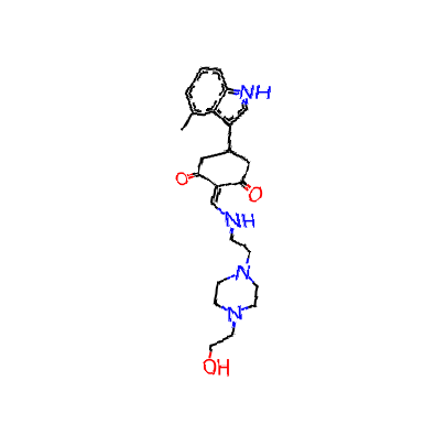 Cc1cccc2[nH]cc(C3CC(=O)C(=CNCCN4CCN(CCO)CC4)C(=O)C3)c12